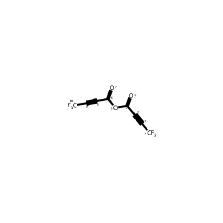 O=C(C#CC(F)(F)F)OC(=O)C#CC(F)(F)F